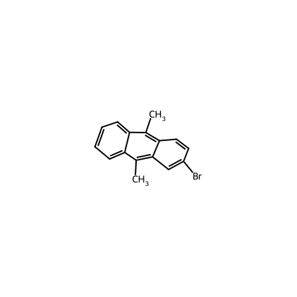 Cc1c2ccccc2c(C)c2cc(Br)ccc12